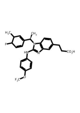 CC1C=C([C@@H](C)n2c(Nc3ccc(OC(F)(F)F)cc3)nc3cc(CCC(=O)O)ccc32)C=CC1F